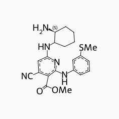 COC(=O)c1c(C#N)cc(NC2CCCC[C@@H]2N)nc1Nc1cccc(SC)c1